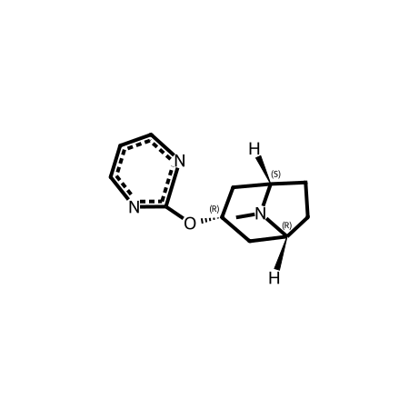 CN1[C@@H]2CC[C@H]1C[C@@H](Oc1ncccn1)C2